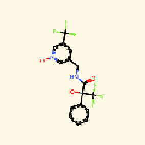 O=C(NCc1cc(C(F)(F)F)c[n+]([O-])c1)[C@@](O)(c1ccccc1)C(F)(F)F